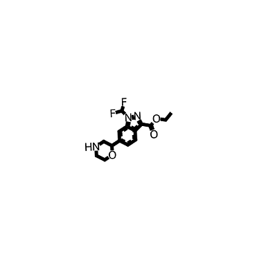 CCOC(=O)c1nn(C(F)F)c2cc(C3CNCCO3)ccc12